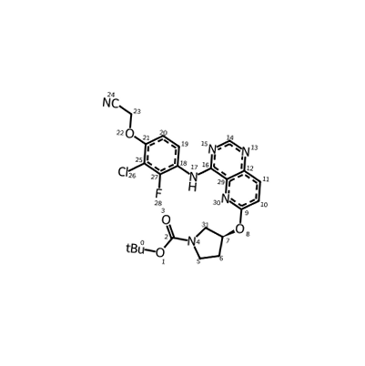 CC(C)(C)OC(=O)N1CC[C@H](Oc2ccc3ncnc(Nc4ccc(OCC#N)c(Cl)c4F)c3n2)C1